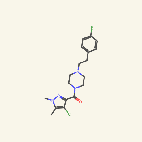 Cc1c(Cl)c(C(=O)N2CCN(CCc3ccc(F)cc3)CC2)nn1C